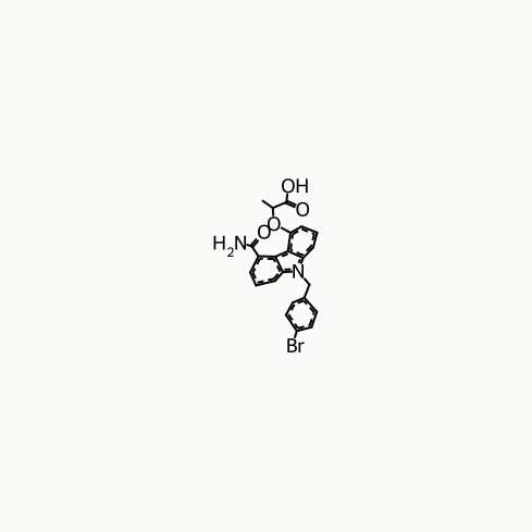 CC(Oc1cccc2c1c1c(C(N)=O)cccc1n2Cc1ccc(Br)cc1)C(=O)O